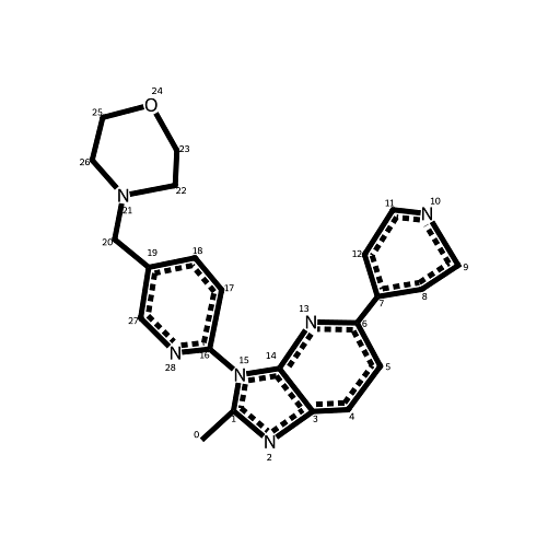 Cc1nc2ccc(-c3ccncc3)nc2n1-c1ccc(CN2CCOCC2)cn1